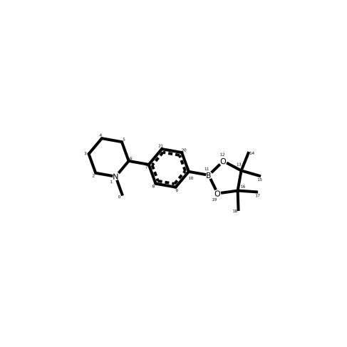 CN1CCCCC1c1ccc(B2OC(C)(C)C(C)(C)O2)cc1